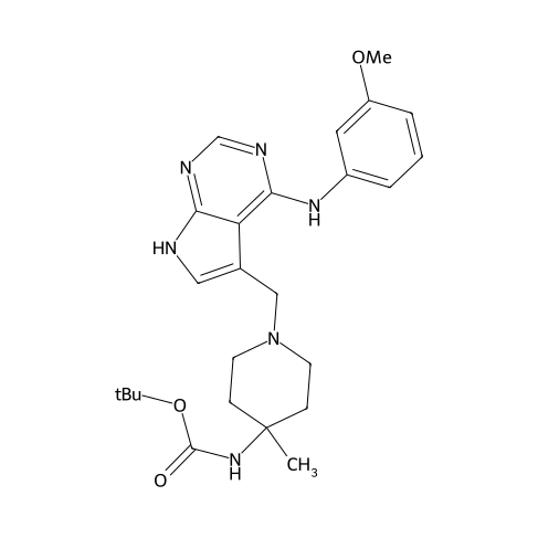 COc1cccc(Nc2ncnc3[nH]cc(CN4CCC(C)(NC(=O)OC(C)(C)C)CC4)c23)c1